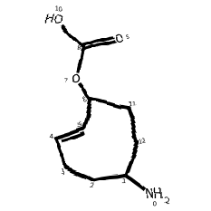 NC1CC/C=C/C(OC(=O)O)CC1